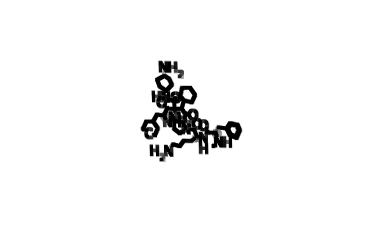 CN[C@@H](Cc1ccccc1)C(=O)N[C@@H](CCCCN)C(=O)N1CCC[C@H]1C(=O)C(C1CCCCC1)[C@@](N)(C(=O)N[C@H]1CC[C@@H](N)CC1)C(=O)[C@H](N)CC1CCCCC1